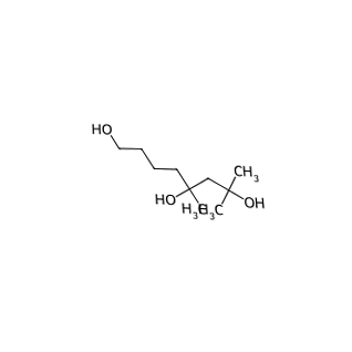 CC(C)(O)CC(C)(O)CCCCO